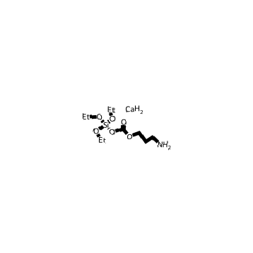 CCO[Si](OCC)(OCC)OC(=O)OCCCN.[CaH2]